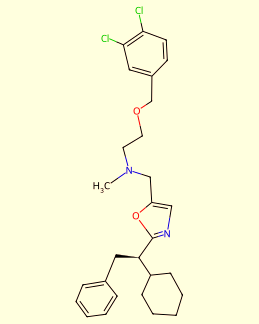 CN(CCOCc1ccc(Cl)c(Cl)c1)Cc1cnc([C@H](Cc2ccccc2)C2CCCCC2)o1